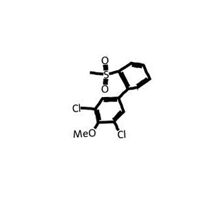 COc1c(Cl)cc(-c2[c]cccc2S(C)(=O)=O)cc1Cl